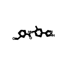 Cc1cc(-c2cn[nH]c2)ccc1NC(=O)c1cccc(C=O)c1